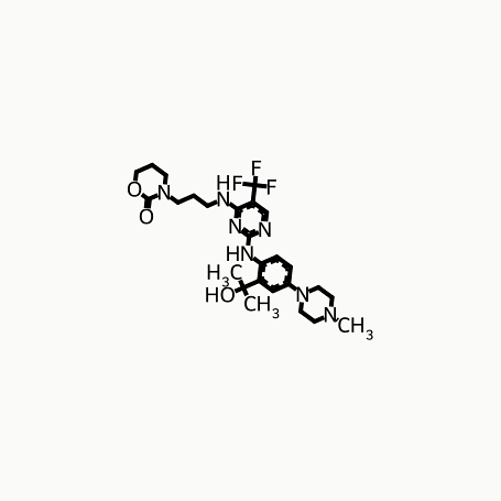 CN1CCN(c2ccc(Nc3ncc(C(F)(F)F)c(NCCCN4CCCOC4=O)n3)c(C(C)(C)O)c2)CC1